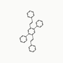 C(=C\c1cc(-c2ccccc2)c(/C=C/c2ccccc2)cc1-c1ccccc1)/c1ccccc1